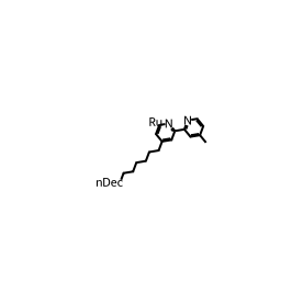 CCCCCCCCCCCCCCCCc1ccnc(-c2cc(C)ccn2)c1.[Ru]